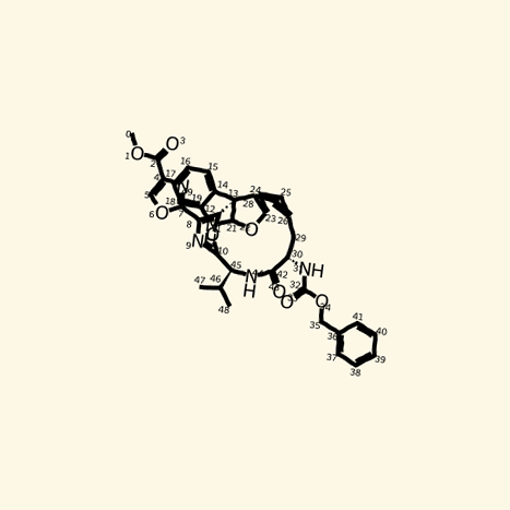 COC(=O)c1coc(-c2nc3oc2[C@@]24c5ccccc5NC2Oc2ccc(cc24)C[C@H](NC(=O)OCc2ccccc2)C(=O)N[C@H]3C(C)C)n1